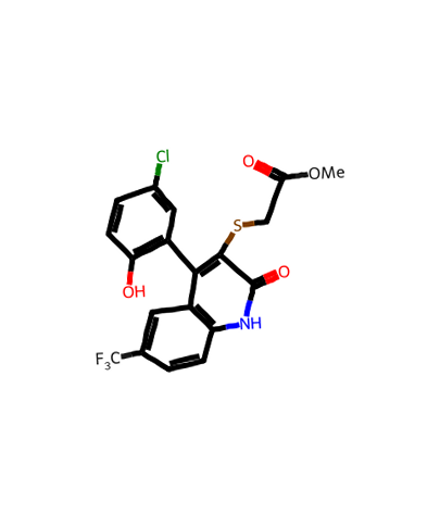 COC(=O)CSc1c(-c2cc(Cl)ccc2O)c2cc(C(F)(F)F)ccc2[nH]c1=O